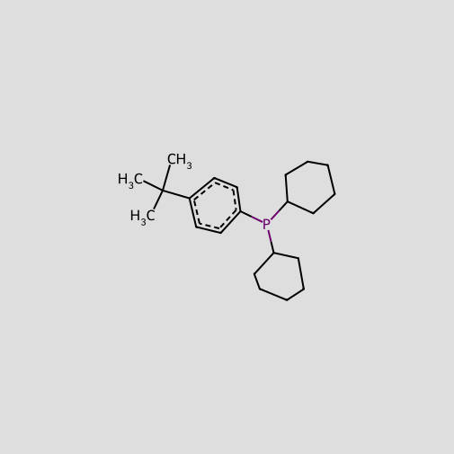 CC(C)(C)c1ccc(P(C2CCCCC2)C2CCCCC2)cc1